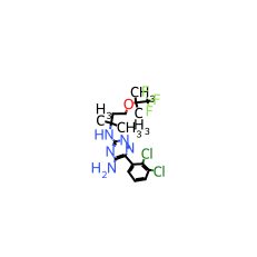 CC(C)(CCOC(C)(C)C(F)(F)F)Nc1nnc(-c2cccc(Cl)c2Cl)c(N)n1